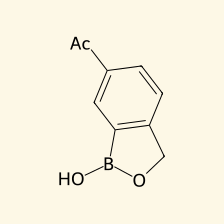 CC(=O)c1ccc2c(c1)B(O)OC2